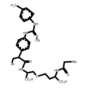 Cc1ccc(NC(=NC#N)Nc2ccc(C(CC(C)C)C(=O)NC(COCCC(NC(=O)CC(C)(C)C)C(=O)O)C(=O)O)cc2)cc1